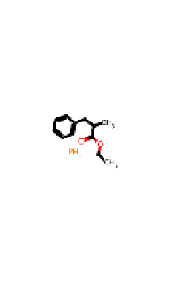 CCOC(=O)C(C)Cc1ccccc1.P